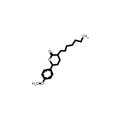 CCCCCCCC1CCC(c2ccc(OC)cc2)OC1=O